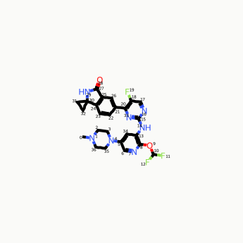 CN1CCN(c2cnc(OC(F)F)c(Nc3ncc(F)c(-c4ccc5c(c4)C(=O)NC54CC4)n3)c2)CC1